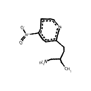 CC(N)Cc1cc([N+](=O)[O-])ccn1